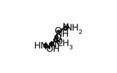 COc1cc(-c2ccc(C(O)N3CCNCC3)cn2)cc2cc(CNC(=O)/C=C/c3ccc(N)nc3)oc12